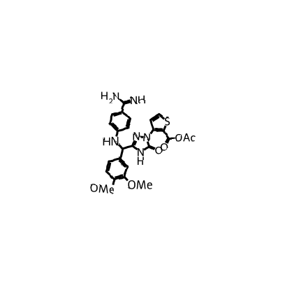 COc1ccc(C(Nc2ccc(C(=N)N)cc2)c2nn(-c3ccsc3C(=O)OC(C)=O)c(=O)[nH]2)cc1OC